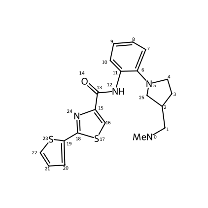 CNCC1CCN(c2ccccc2NC(=O)c2csc(-c3cccs3)n2)C1